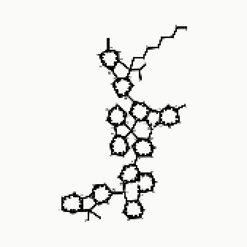 CCCCCCCCC1(C(C)C)c2cc(C)ccc2-c2ccc(-c3cc4c5c(c3)c3cc(C)ccc3n5-c3ccc(-c5ccc(N(c6ccc7c(c6)C(C)(C)c6ccccc6-7)c6ccccc6-c6ccccc6)cc5)cc3C43c4ccccc4-c4ccccc43)cc21